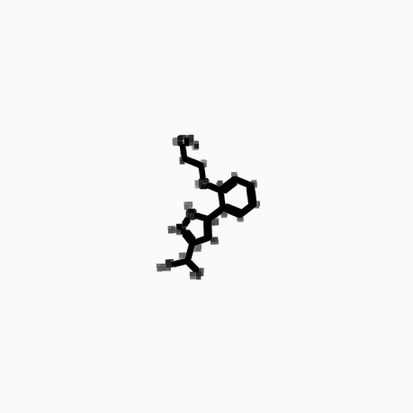 CCCOc1ccccc1-c1cc(C(F)F)no1